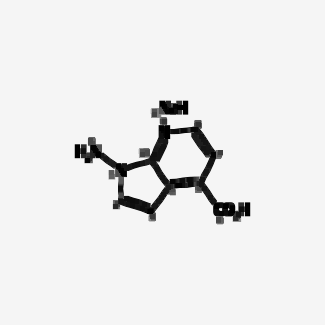 Nn1ccc2c(C(=O)O)ccnc21.[NaH]